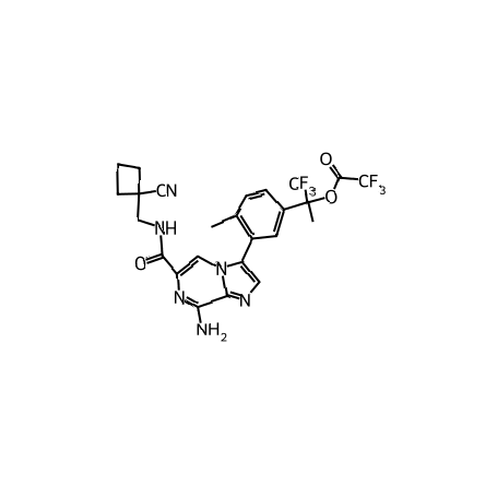 Cc1ccc(C(C)(OC(=O)C(F)(F)F)C(F)(F)F)cc1-c1cnc2c(N)nc(C(=O)NCC3(C#N)CCC3)cn12